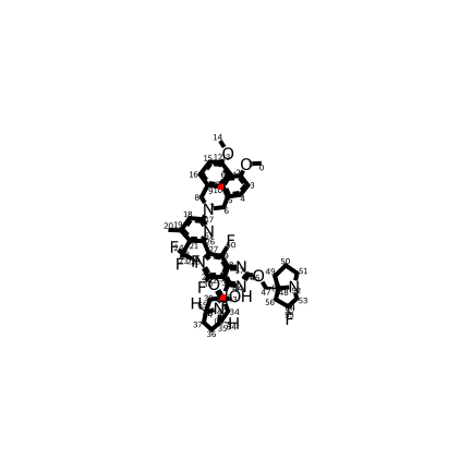 COc1ccc(CN(Cc2ccc(OC)cc2)c2cc(C)c(C(F)(F)F)c(-c3nc(F)c4c(N5C[C@H]6CC[C@@H](C5)N6C(=O)O)nc(OC[C@@]56CCCN5C[C@H](F)C6)nc4c3F)n2)cc1